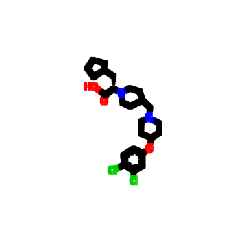 O=C(O)[C@H](CC1CCCC1)N1CCC(CN2CCC(Oc3ccc(Cl)c(Cl)c3)CC2)CC1